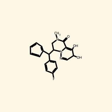 CN1CC(C(c2ccccc2)c2ccc(F)cc2)N2N=CC(O)C(O)=C2C1=O